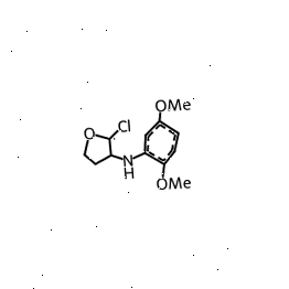 COc1ccc(OC)c(NC2CCO[C]2Cl)c1